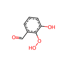 O=Cc1cccc(O)c1OO